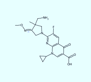 CO/N=C1/CN(c2nc3c(cc2F)c(=O)c(C(=O)O)cn3C2CC2)CC1(C)CN